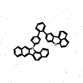 c1ccc(-c2ccc3c(c2)-c2cccc4cccc(c24)S3)c(-c2ccc(-n3c4cc5ccccc5cc4c4ccc5ccccc5c43)cc2)c1